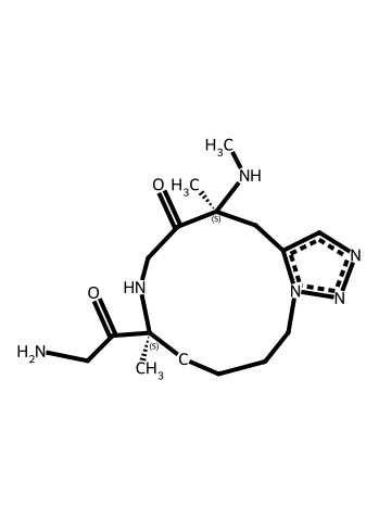 CN[C@@]1(C)Cc2cnnn2CCCC[C@@](C)(C(=O)CN)NCC1=O